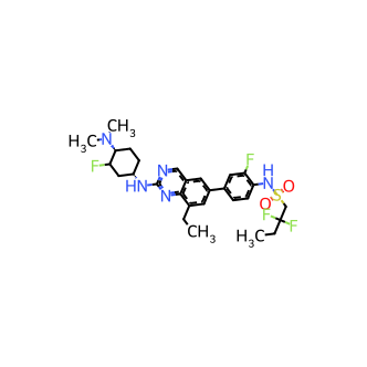 CCc1cc(-c2ccc(NS(=O)(=O)CC(F)(F)CC)c(F)c2)cc2cnc(N[C@H]3CC[C@H](N(C)C)C(F)C3)nc12